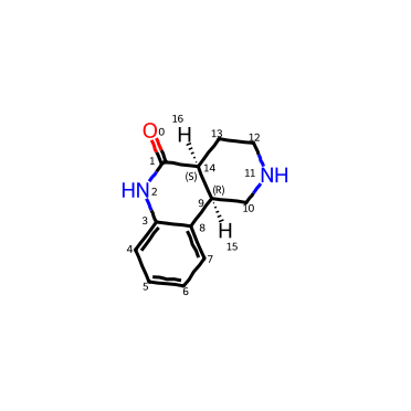 O=C1Nc2ccccc2[C@@H]2CNCC[C@H]12